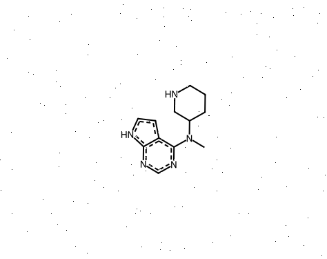 CN(c1ncnc2[nH]ccc12)C1CCCNC1